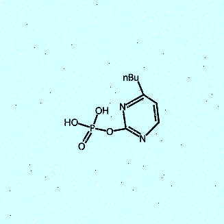 CCCCc1ccnc(OP(=O)(O)O)n1